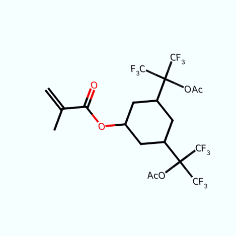 C=C(C)C(=O)OC1CC(C(OC(C)=O)(C(F)(F)F)C(F)(F)F)CC(C(OC(C)=O)(C(F)(F)F)C(F)(F)F)C1